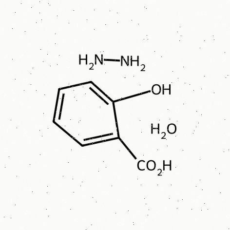 NN.O.O=C(O)c1ccccc1O